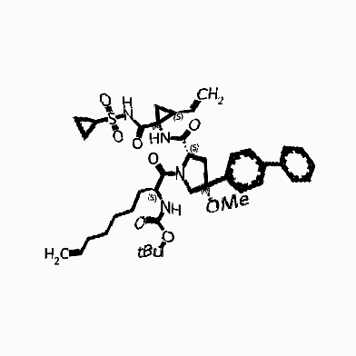 C=CCCCCC[C@H](NC(=O)OC(C)(C)C)C(=O)N1C[C@](OC)(c2ccc(-c3ccccc3)cc2)C[C@H]1C(=O)N[C@]1(C(=O)NS(=O)(=O)C2CC2)C[C@H]1C=C